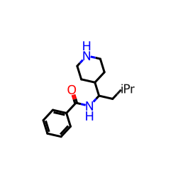 CC(C)CC(NC(=O)c1ccccc1)C1CCNCC1